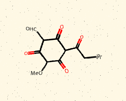 COC1C(=O)C(C=O)C(=O)C(C(=O)CC(C)C)C1=O